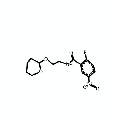 O=C(NCCOC1CCCCO1)c1cc([N+](=O)[O-])ccc1F